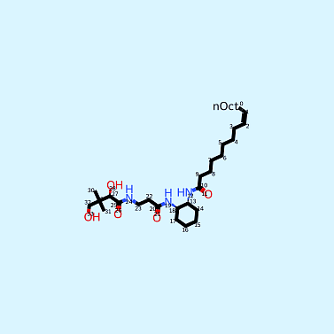 CCCCCCCC/C=C\CCCCCCCC(=O)N[C@@H]1CCCC[C@H]1NC(=O)CCNC(=O)[C@H](O)C(C)(C)CO